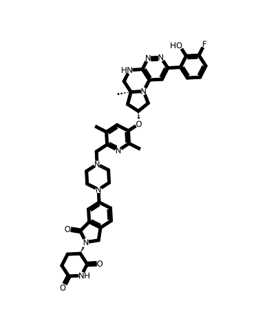 Cc1cc(O[C@H]2CN3c4cc(-c5cccc(F)c5O)nnc4NC[C@]3(C)C2)c(C)nc1CN1CCN(c2ccc3c(c2)C(=O)N([C@H]2CCC(=O)NC2=O)C3)CC1